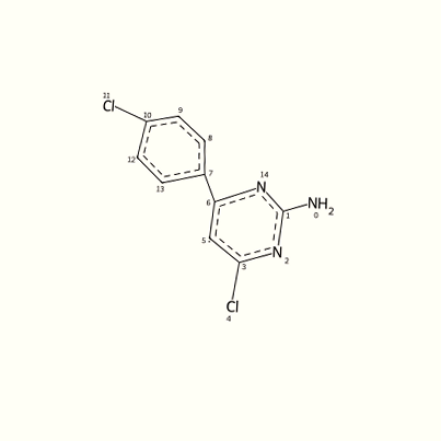 Nc1nc(Cl)[c]c(-c2ccc(Cl)cc2)n1